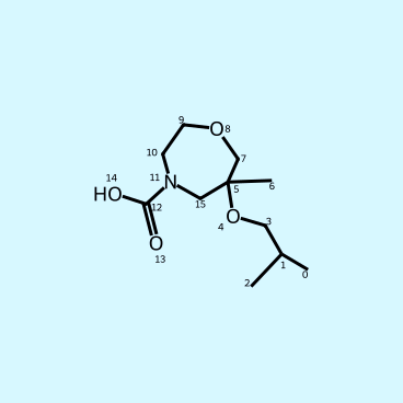 CC(C)COC1(C)COCCN(C(=O)O)C1